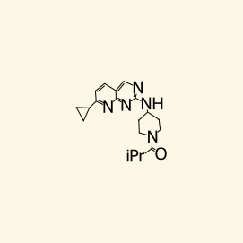 CC(C)C(=O)N1CCC(Nc2ncc3ccc(C4CC4)nc3n2)CC1